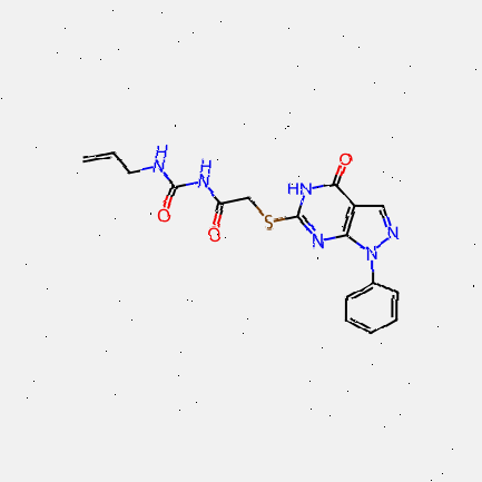 C=CCNC(=O)NC(=O)CSc1nc2c(cnn2-c2ccccc2)c(=O)[nH]1